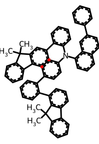 CC1(C)c2ccccc2-c2ccc(-c3ccccc3N(c3ccc(-c4ccccc4-c4cccc5c4C(C)(C)c4ccccc4-5)cc3)c3cccc4ccc(-c5ccccc5)cc34)cc21